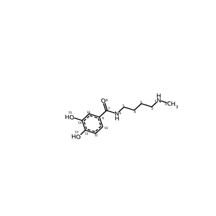 CNCCCCNC(=O)c1ccc(O)c(O)c1